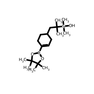 CC1(C)OB(C2=CCC(CC(C)(C)[Si](C)(C)O)CC2)OC1(C)C